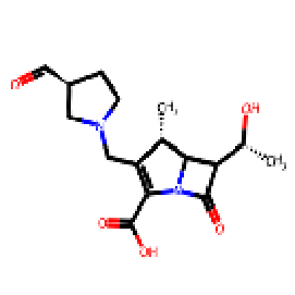 C[C@@H](O)C1C(=O)N2C(C(=O)O)=C(CN3CC[C@H](C=O)C3)[C@H](C)C12